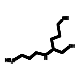 O=S(=O)(O)CCCNC(CO)CCCO